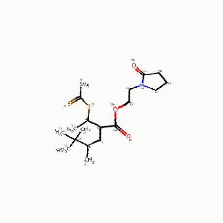 CSC(=S)SC(C)C(CC(C)C(C)(C)C(=O)O)C(=O)OCCN1CCCC1=O